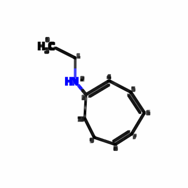 CCNC1=CC=CC=CCC1